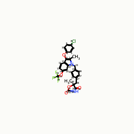 Cc1c(Oc2ccc(Cl)cc2)c2ccc(OC(F)(F)F)cc2n1Cc1ccc(C[C@]2(C)OC(=O)NC2=O)cc1